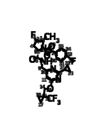 C[C@H]1[C@H](F)C[C@@H](C(=O)NCc2cc(OCC3(C(F)(F)F)CC3)nc(C3CC3)n2)N1S(=O)(=O)c1ccc(F)cc1